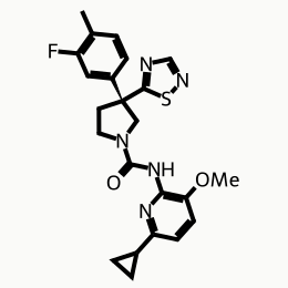 COc1ccc(C2CC2)nc1NC(=O)N1CC[C@](c2ccc(C)c(F)c2)(c2ncns2)C1